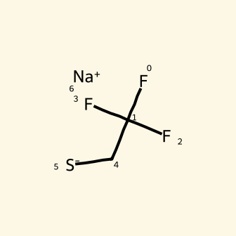 FC(F)(F)C[S-].[Na+]